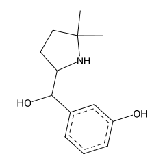 CC1(C)CCC(C(O)c2cccc(O)c2)N1